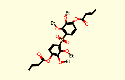 CC=CC(=O)Oc1ccc(S(=O)(=O)c2ccc(OC(=O)C=CC)c(OCC)c2OCC)c(OCC)c1OCC